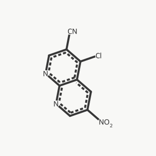 N#Cc1cnc2ncc([N+](=O)[O-])cc2c1Cl